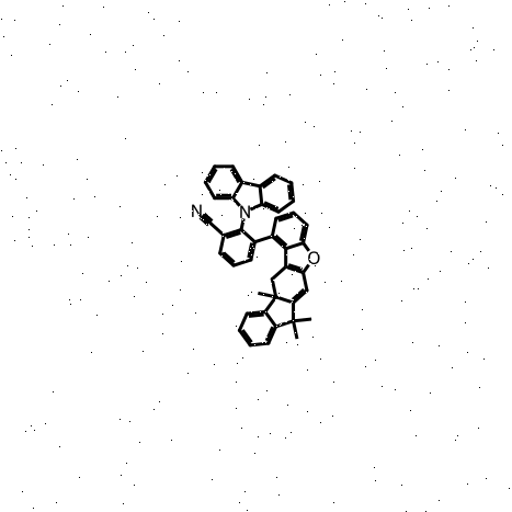 CC1(C)C2=Cc3oc4cccc(-c5cccc(C#N)c5-n5c6ccccc6c6ccccc65)c4c3CC2(C)c2ccccc21